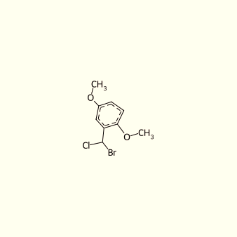 COc1ccc(OC)c(C(Cl)Br)c1